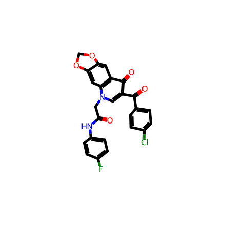 O=C(Cn1cc(C(=O)c2ccc(Cl)cc2)c(=O)c2cc3c(cc21)OCO3)Nc1ccc(F)cc1